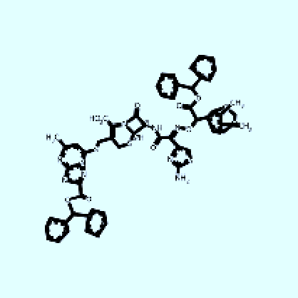 Cc1cc(SCC2=C(C(=O)O)N3C(=O)[C@@H](NC(=O)C(=NOC(C(=O)OC(c4ccccc4)c4ccccc4)c4cc5c(C)c(C)c4OCO5)c4csc(N)n4)[C@H]3SC2)n2nc(C(=O)OC(c3ccccc3)c3ccccc3)nc2n1